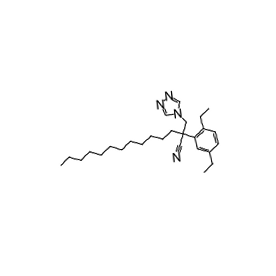 CCCCCCCCCCCCC(C#N)(Cn1cnnc1)c1cc(CC)ccc1CC